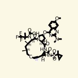 COc1ccc2c(O[C@@H]3C[C@H]4C(=O)N[C@]5(C(=O)NS(=O)(=O)C6(C)CC6)C[C@H]5/C=C\CC[C@@H](C)C[C@@H](C)[C@H](N(C(=O)O)C(C)(C)C(F)(F)F)C(=O)N4C3)nc(N(C)C)nc2c1